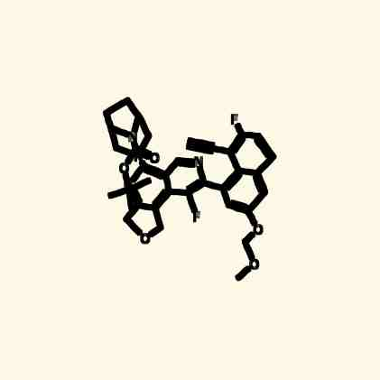 C#Cc1c(F)ccc2cc(OCOC)cc(-c3ncc4c(N5CC6CCC(C5)N6C(=O)OC(C)(C)C)nc5c(c4c3F)COC5)c12